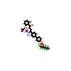 CC(C)(C)OC(=O)NC(CCC(=O)c1c(F)cccc1F)c1ccc(-c2ccc(OS(=O)(=O)C(F)(F)C(F)(F)C(F)(F)C(F)(F)F)cc2)cc1